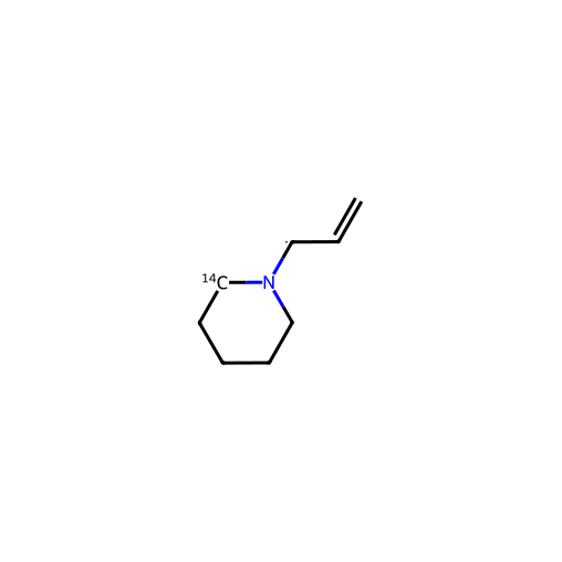 C=C[CH]N1CCCC[14CH2]1